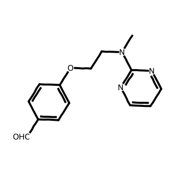 CN(CCOc1ccc(C=O)cc1)c1ncccn1